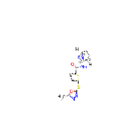 Cc1nnc(Sc2ccc(C(=O)N[C@@H]3C[C@H]4CC[C@@H]3N4)s2)o1